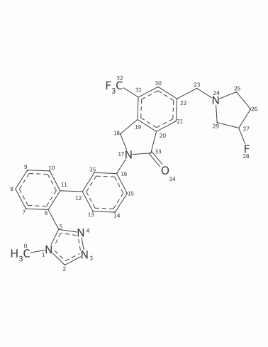 Cn1cnnc1-c1ccccc1-c1cccc(N2Cc3c(cc(CN4CCC(F)C4)cc3C(F)(F)F)C2=O)c1